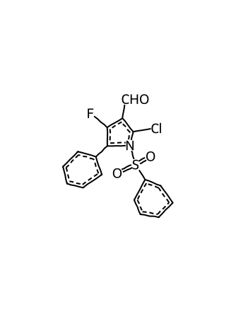 O=Cc1c(F)c(-c2ccccc2)n(S(=O)(=O)c2ccccc2)c1Cl